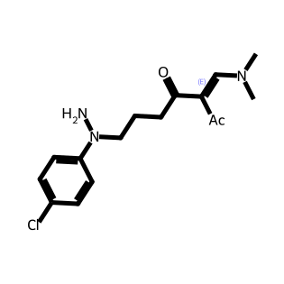 CC(=O)/C(=C\N(C)C)C(=O)CCCN(N)c1ccc(Cl)cc1